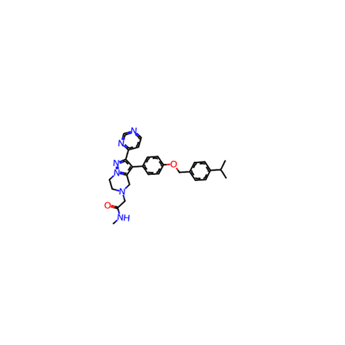 CNC(=O)CN1CCn2nc(-c3ccncn3)c(-c3ccc(OCc4ccc(C(C)C)cc4)cc3)c2C1